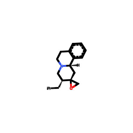 CC(C)C[C@@H]1CN2CCc3ccccc3[C@H]2C[C@]12CO2